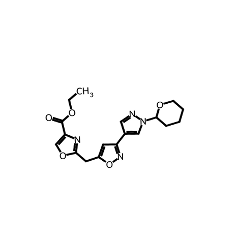 CCOC(=O)c1coc(Cc2cc(-c3cnn(C4CCCCO4)c3)no2)n1